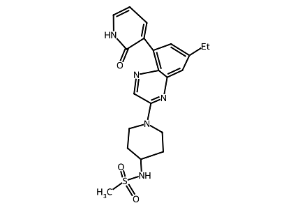 CCc1cc(-c2ccc[nH]c2=O)c2ncc(N3CCC(NS(C)(=O)=O)CC3)nc2c1